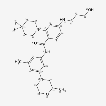 Cc1cc(NC(=O)c2ccc(NSCCO)cc2N2CCC3(CC2)CC3)nc(N2CCOC(C)C2)c1